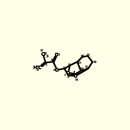 C=C(C(=O)OC1C2OC3C1OC1CCCC2C13)C(F)(F)F